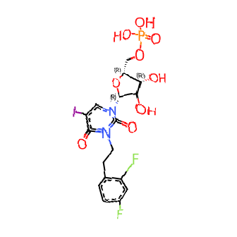 O=c1c(I)cn([C@@H]2O[C@H](COP(=O)(O)O)[C@H](O)C2O)c(=O)n1CCc1ccc(F)cc1F